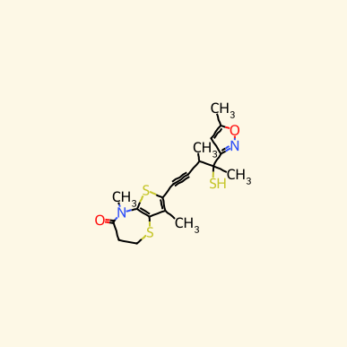 Cc1cc(C(C)(S)C(C)C#Cc2sc3c(c2C)SCCC(=O)N3C)no1